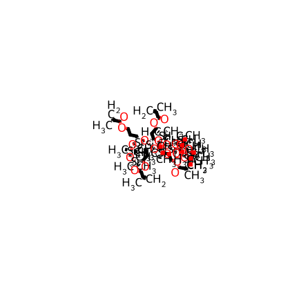 C=C(C)C(=O)OCCC[Si](C)(O[Si](C)(C)O[Si](C)(C)C)O[Si](CCCOC(=O)C(=C)C)(CCCOC(=O)C(=C)C)O[Si](CCCOC(=O)C(=C)C)(O[Si](C)(C)C)O[Si](O[Si](C)(C)C)(O[Si](C)(C)C)O[Si](O[Si](C)(C)C)(O[Si](C)(C)C)O[Si](C)(C)C